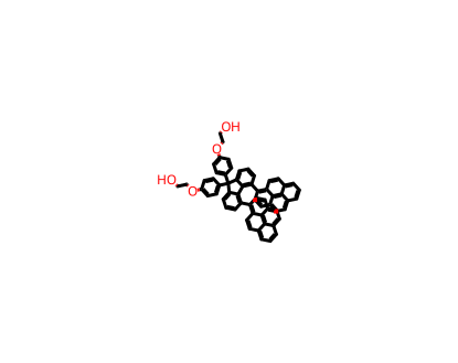 OCCOc1ccc(C2(c3ccc(OCCO)cc3)c3cccc(-c4ccc5ccc6cccc7ccc4c5c67)c3-c3c(-c4ccc5ccc6cccc7ccc4c5c67)cccc32)cc1